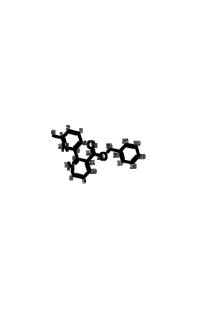 Cc1cccc(-c2ncccc2C(=O)OCc2ccccc2)n1